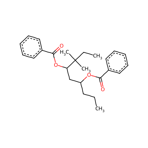 CCCC(CC(OC(=O)c1ccccc1)C(C)(C)CC)OC(=O)c1ccccc1